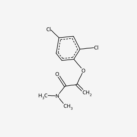 C=C(Oc1ccc(Cl)cc1Cl)C(=O)N(C)C